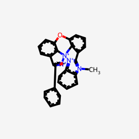 Cn1c2[n+](c3ccccc31)[N+]13c4c(cccc4-c4cc(-c5ccccc5)cc[n+]41)Oc1cccc-2c13